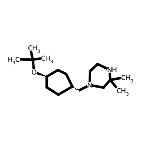 CC1(C)CN(C[C@H]2CC[C@H](OC(C)(C)C)CC2)CCN1